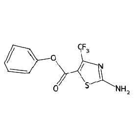 Nc1nc(C(F)(F)F)c(C(=O)Oc2ccccc2)s1